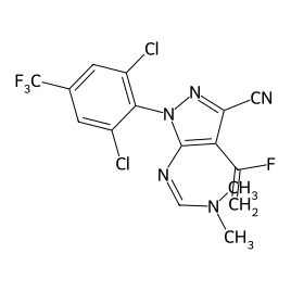 C=C(F)c1c(C#N)nn(-c2c(Cl)cc(C(F)(F)F)cc2Cl)c1/N=C\N(C)C